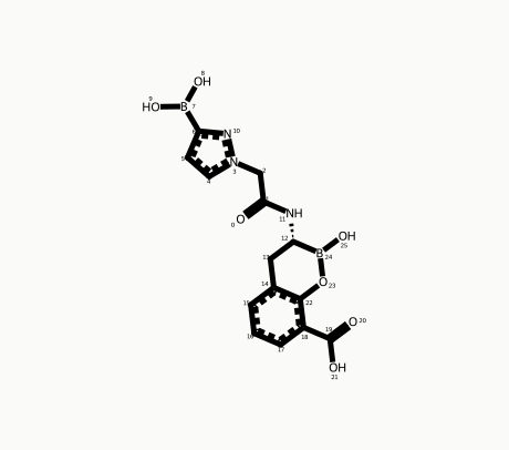 O=C(Cn1ccc(B(O)O)n1)N[C@H]1Cc2cccc(C(=O)O)c2OB1O